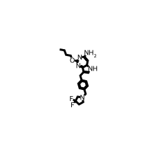 CCCCOC1=NC(N)=CC2NC=C(Cc3ccc(CN4CCC(F)(F)C4)cc3)C2=N1